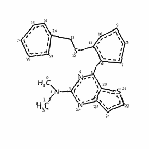 CN(C)c1nc(-c2ccccc2SCc2ccccc2)c2sccc2n1